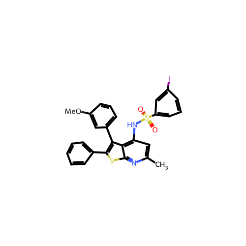 COc1cccc(-c2c(-c3ccccc3)sc3nc(C)cc(NS(=O)(=O)c4cccc(I)c4)c23)c1